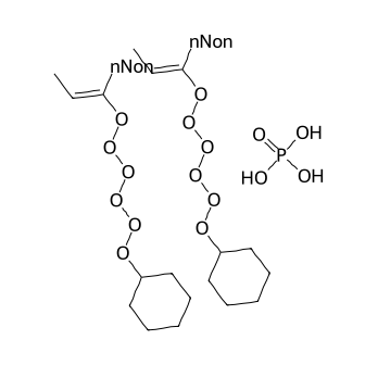 CC=C(CCCCCCCCC)OOOOOOC1CCCCC1.CC=C(CCCCCCCCC)OOOOOOC1CCCCC1.O=P(O)(O)O